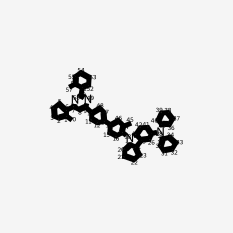 Cc1ccccc1-c1cc(-c2ccc(-c3ccc(-n4c5ccccc5c5cc(N(c6ccccc6)c6ccccc6)ccc54)c(C)c3)cc2)nc(-c2ccccc2C)n1